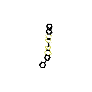 C1=CC(c2ccc3c(c2)SC2=C(SC(=C4SC5=C(S4)Sc4cc6c(cc4S5)C4C=CC6CC4)S2)S3)CCC1